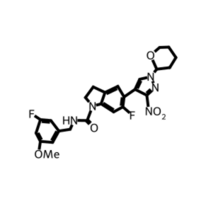 COc1cc(F)cc(CNC(=O)N2CCc3cc(-c4cn(C5CCCCO5)nc4[N+](=O)[O-])c(F)cc32)c1